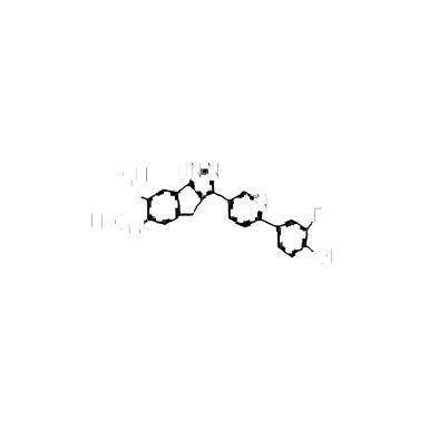 COc1cc2c(cc1OC)-c1[nH]nc(-c3ccc(-c4ccc(O)c(F)c4)nc3)c1C2